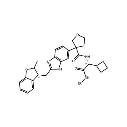 CCNC(=O)[C@H](NC(=O)C1(c2ccc3nc(C[C@H]4c5ccccc5OC4C)[nH]c3c2)CCOC1)C1CCC1